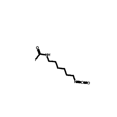 O=C=NCCCCCCNC(=O)I